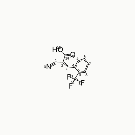 N#CC(=Cc1ccccc1C(F)(F)F)C(=O)O